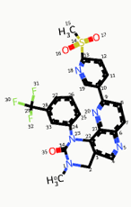 CN1Cc2cnc3ccc(-c4ccc(S(C)(=O)=O)nc4)nc3c2N(c2cccc(C(F)(F)F)c2)C1=O